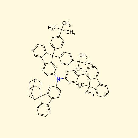 CC(C)(C)c1ccc(C2(c3ccc(C(C)(C)C)cc3)c3ccccc3-c3ccc(N(c4ccc(-c5cccc6c5C(C)(C)c5ccccc5-6)cc4)c4ccc5c(c4)C4(c6ccccc6-5)C5CC6CC(C5)CC4C6)cc32)cc1